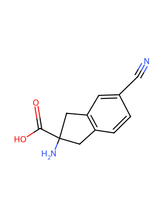 N#Cc1ccc2c(c1)CC(N)(C(=O)O)C2